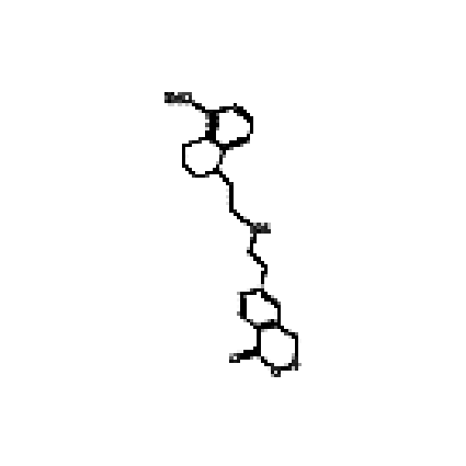 COc1cccc2c1CCCC2CCNCCc1ccc2c(c1)CSOC2=O